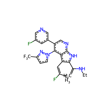 C=C(NCC)c1[nH]c2ncc(-c3cncc(F)c3)c(-n3ccc(C(F)(F)F)n3)c2c1/C=C(\C)F